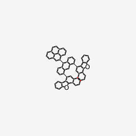 c1ccc2c(c1)cc(-c1cccc3c(-c4cc5cccc6ccc7cccc4c7c65)c4cccc(-c5cc6ccccc6c6oc7ccccc7c56)c4cc13)c1c3ccccc3oc21